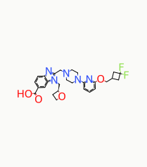 O=C(O)c1ccc2nc(CN3CCN(c4cccc(OCC5CC(F)(F)C5)n4)CC3)n(C[C@@H]3CCO3)c2c1